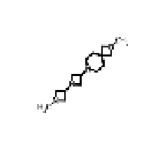 CN1CC(N2CC(N3CCC4(CC3)CN(C)C4)C2)C1